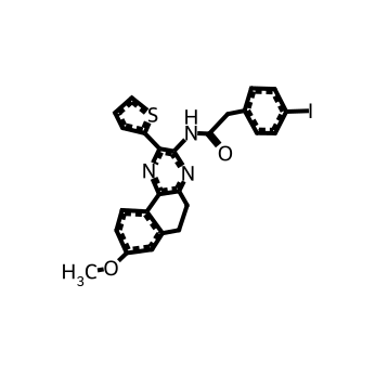 COc1ccc2c(c1)CCc1nc(NC(=O)Cc3ccc(I)cc3)c(-c3cccs3)nc1-2